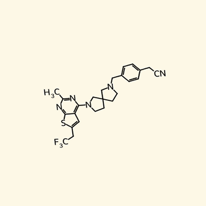 Cc1nc(N2CCC3(CCN(Cc4ccc(CC#N)cc4)C3)C2)c2cc(CC(F)(F)F)sc2n1